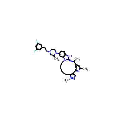 C=C1/N=C2\Nc3ccc(N4CCN(CCc5cc(F)cc(F)c5)CC4=C)cc3N2CCCCCCc2c(cnn2C)-c2cc1cc(C)n2